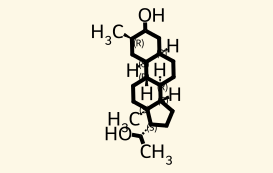 CC(O)[C@H]1CC[C@H]2[C@@H]3CC[C@@H]4CC(O)[C@H](C)C[C@@H]4[C@H]3CC[C@]12C